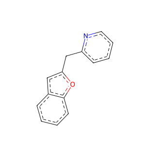 c1ccc(Cc2cc3ccccc3o2)nc1